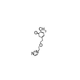 CC1=CC=C(CCOCCn2ccnc2)CC1=O